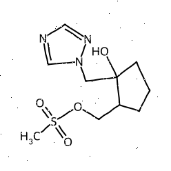 CS(=O)(=O)OCC1CCCC1(O)Cn1cncn1